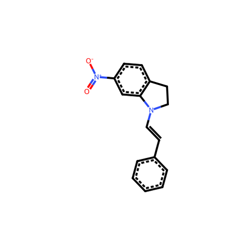 O=[N+]([O-])c1ccc2c(c1)N(C=Cc1ccccc1)CC2